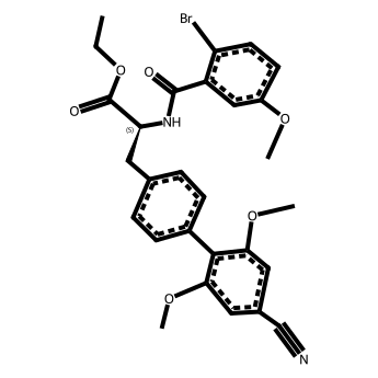 CCOC(=O)[C@H](Cc1ccc(-c2c(OC)cc(C#N)cc2OC)cc1)NC(=O)c1cc(OC)ccc1Br